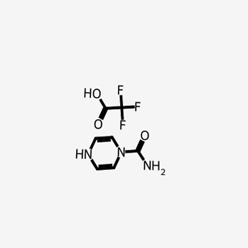 NC(=O)N1C=CNC=C1.O=C(O)C(F)(F)F